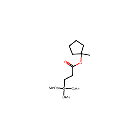 CO[Si](CCC(=O)OC1(C)CCCC1)(OC)OC